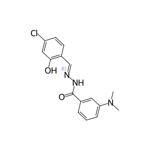 CN(C)c1cccc(C(=O)N/N=C/c2ccc(Cl)cc2O)c1